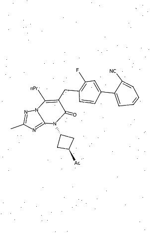 CCCc1c(Cc2ccc(-c3ccccc3C#N)cc2F)c(=O)n([C@H]2C[C@H](C(C)=O)C2)c2nc(C)nn12